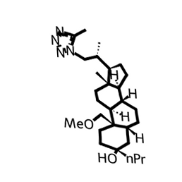 CCC[C@@]1(O)CC[C@@]2(COC)[C@H](CC[C@H]3[C@@H]4CC[C@H]([C@@H](C)Cn5nnnc5C)[C@@]4(C)CC[C@@H]32)C1